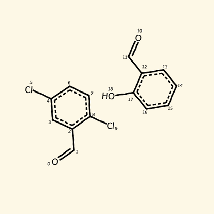 O=Cc1cc(Cl)ccc1Cl.O=Cc1ccccc1O